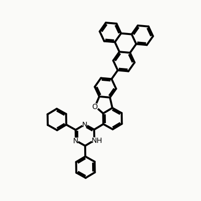 C1=CC(C2=NC(c3ccccc3)NC(c3cccc4c3oc3ccc(-c5ccc6c7ccccc7c7ccccc7c6c5)cc34)=N2)=CCC1